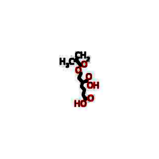 C=C(C)C(=O)OCCC(CCCC(=O)O)C(=O)O